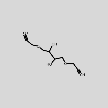 C#CCOCC(O)C(O)COCC#C